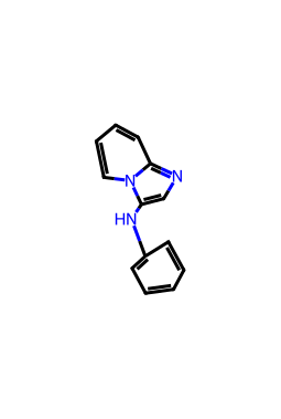 c1ccc(Nc2cnc3ccccn23)cc1